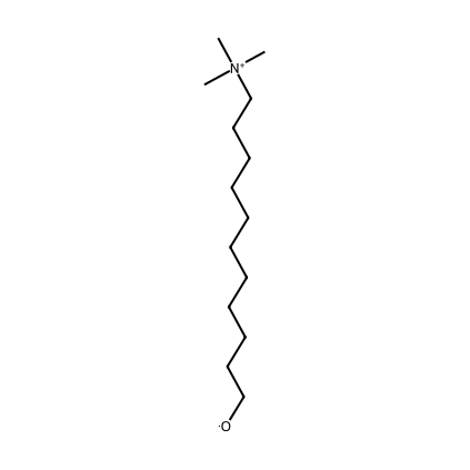 C[N+](C)(C)CCCCCCCCCCC[O]